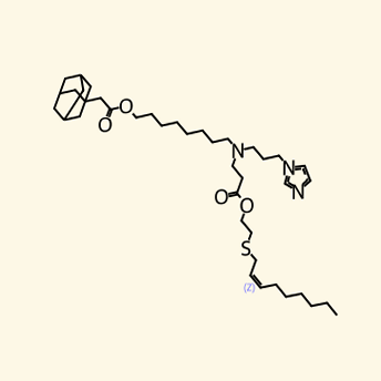 CCCCCC/C=C\CSCCOC(=O)CCN(CCCCCCCCOC(=O)CC12CC3CC(CC(C3)C1)C2)CCCn1ccnc1